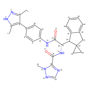 Cc1n[nH]c(C)c1-c1ccc(NC(=O)[C@@H](NC(=O)c2ncnn2C)C2c3ccccc3CC23CC3)cc1